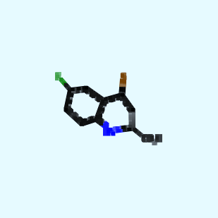 O=C(O)c1cc(=S)c2cc(F)ccc2[nH]1